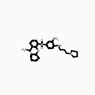 NC(=O)c1cccc(S(=O)(=O)c2ccc(NCCCN3CCCC3)c([N+](=O)[O-])c2)c1Oc1ccccc1